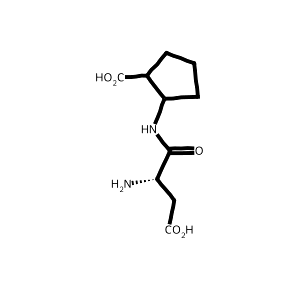 N[C@@H](CC(=O)O)C(=O)NC1CCCC1C(=O)O